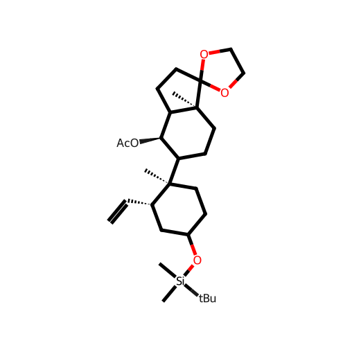 C=C[C@H]1CC(O[Si](C)(C)C(C)(C)C)CC[C@]1(C)C1CC[C@@]2(C)C(CCC23OCCO3)[C@@H]1OC(C)=O